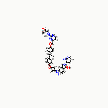 CC(C)(c1ccc(OCc2ccnc(N3CC4(COC4)C3)n2)cc1)c1ccc(OC2CC(Nc3ccc4c(c3)CN(C3CCCNC3)C4=O)C2)cc1